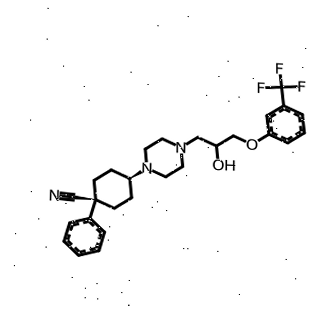 N#C[C@]1(c2ccccc2)CC[C@H](N2CCN(CC(O)COc3cccc(C(F)(F)F)c3)CC2)CC1